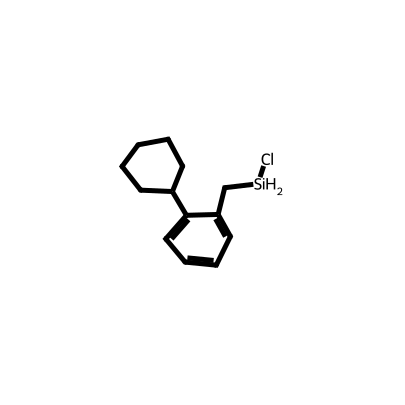 Cl[SiH2]Cc1ccccc1C1CCCCC1